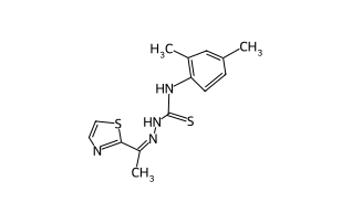 C/C(=N/NC(=S)Nc1ccc(C)cc1C)c1nccs1